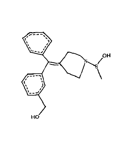 CB(O)N1CCC(=C(c2ccccc2)c2cccc(CO)c2)CC1